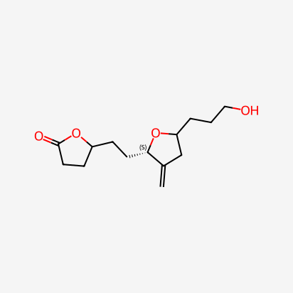 C=C1CC(CCCO)O[C@H]1CCC1CCC(=O)O1